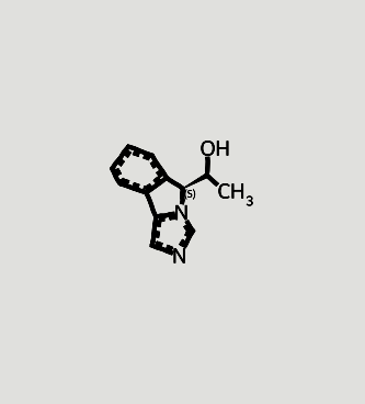 CC(O)[C@@H]1c2ccccc2-c2cncn21